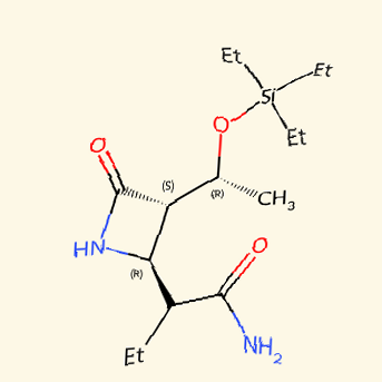 CCC(C(N)=O)[C@H]1NC(=O)[C@@H]1[C@@H](C)O[Si](CC)(CC)CC